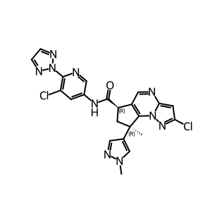 Cn1cc([C@@]2(C)C[C@@H](C(=O)Nc3cnc(-n4nccn4)c(Cl)c3)c3cnc4cc(Cl)nn4c32)cn1